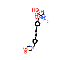 C[C@@H](N)[C@H](NC(=O)c1ccc(C#CC#Cc2ccc(CN3CCS(=O)(=O)CC3)cc2)cc1)C(=O)NO